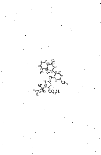 O=C(O)[C@@H]1C[C@@H](Oc2cc(C(F)(F)F)ccc2-c2cc(=O)c3cccc(Cl)c3o2)CN1S(=O)(=O)C1CC1